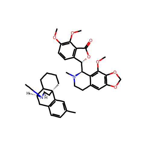 COc1ccc2c(c1OC)C(=O)O[C@@H]2[C@H]1c2c(cc3c(c2OC)OCO3)CCN1C.Cc1ccc2c(c1)[C@]13CCCC[C@@H]1[C@H](C2)N(C)CC3